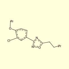 CC(C)CCc1nc(-c2ccc(OC(C)C)c(Cl)c2)no1